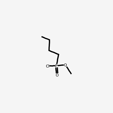 CCCCP(=O)(Cl)OC